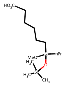 CCC[Si](CCCCCC(=O)O)(OC)O[Si](C)(C)C